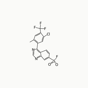 Cc1cc(C(F)(F)F)c(Cl)cc1-c1ncnc2cc(S(=O)(=O)F)ccc12